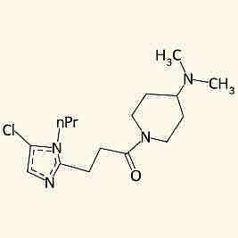 CCCn1c(Cl)cnc1CCC(=O)N1CCC(N(C)C)CC1